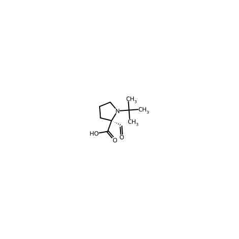 CC(C)(C)N1CCC[C@]1(C=O)C(=O)O